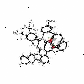 CC(C)(C)c1ccc(N2c3cc4c(oc5ccccc54)c4c3B(c3oc5cc6c(cc5c32)C(C)(C)CCC6(C)C)n2c3cc5ccccc5cc3c3cccc-4c32)c(-c2ccccc2)c1